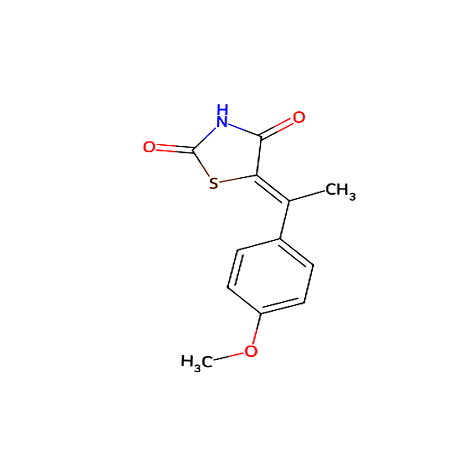 COc1ccc(C(C)=C2SC(=O)NC2=O)cc1